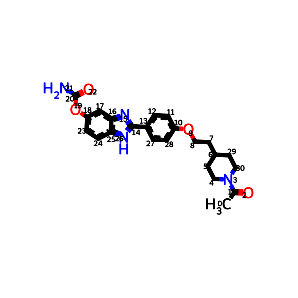 CC(=O)N1CCC(CCOc2ccc(-c3nc4cc(OC(N)=O)ccc4[nH]3)cc2)CC1